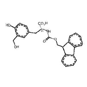 O=C(N[C@H](Cc1ccc(O)c(CO)c1)C(=O)O)OCC1c2ccccc2-c2ccccc21